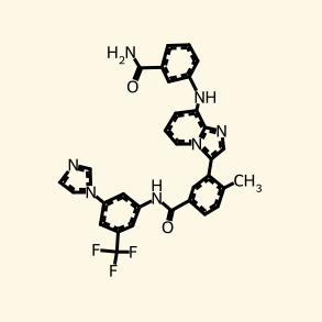 Cc1ccc(C(=O)Nc2cc(-n3ccnc3)cc(C(F)(F)F)c2)cc1-c1cnc2c(Nc3cccc(C(N)=O)c3)cccn12